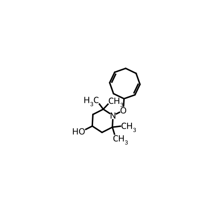 CC1(C)CC(O)CC(C)(C)N1OC1C=CCCC=CC1